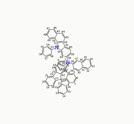 c1ccc(-c2ccccc2C2(c3ccccc3)c3ccccc3-c3ccc(N(c4ccc5ccccc5c4)c4ccc5c6ccc7ccccc7c6n(-c6ccccc6)c5c4)cc32)cc1